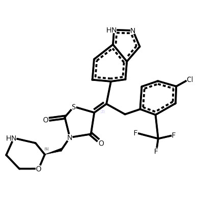 O=C1S/C(=C(/Cc2ccc(Cl)cc2C(F)(F)F)c2ccc3[nH]ncc3c2)C(=O)N1C[C@@H]1CNCCO1